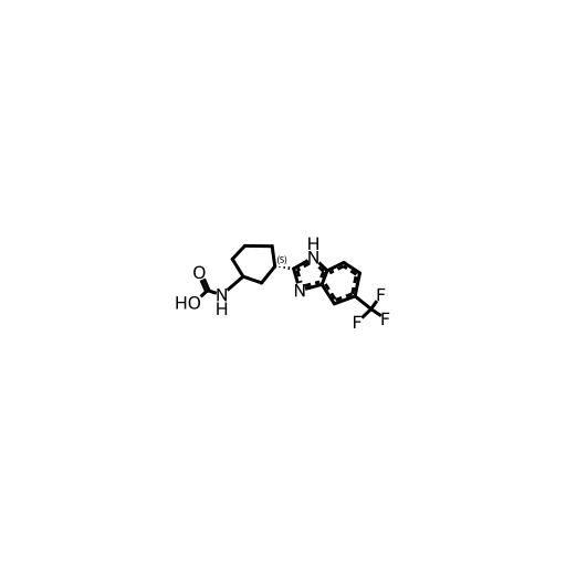 O=C(O)NC1CCC[C@H](c2nc3cc(C(F)(F)F)ccc3[nH]2)C1